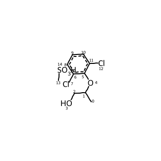 CC(CO)Oc1c(Cl)cccc1Cl.CS(=O)(=O)O